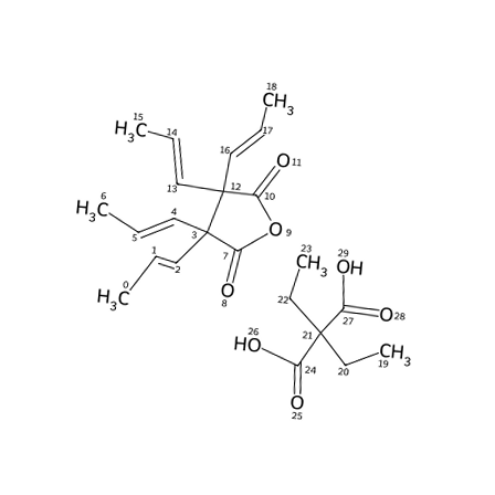 CC=CC1(C=CC)C(=O)OC(=O)C1(C=CC)C=CC.CCC(CC)(C(=O)O)C(=O)O